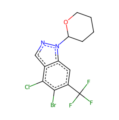 FC(F)(F)c1cc2c(cnn2C2CCCCO2)c(Cl)c1Br